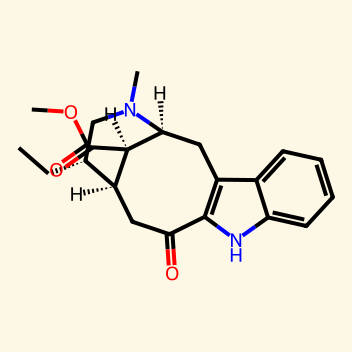 CC[C@@H]1CN(C)[C@H]2Cc3c([nH]c4ccccc34)C(=O)C[C@@H]1[C@H]2C(=O)OC